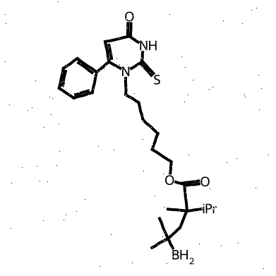 BC(C)(C)CC(C)(C(=O)OCCCCCCn1c(-c2ccccc2)cc(=O)[nH]c1=S)C(C)C